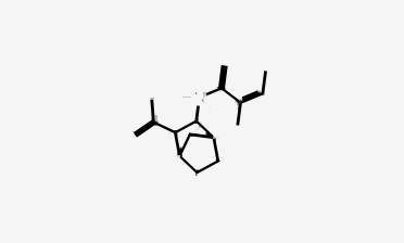 C=C(NC1C2CCC(C2)C1C(=C)C)/C(C)=C\C